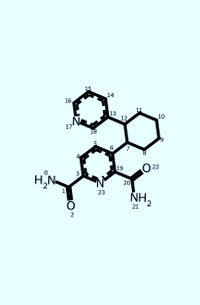 NC(=O)c1ccc(C2CCCCC2c2cccnc2)c(C(N)=O)n1